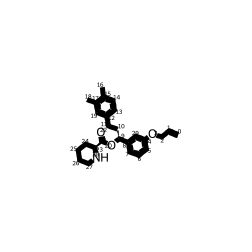 C=CCOc1cccc([C@@H](CCc2ccc(C)c(C)c2)OC(=O)[C@@H]2CCCCN2)c1